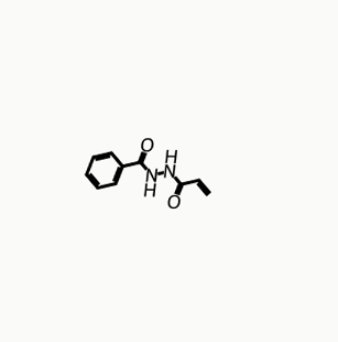 C=CC(=O)NNC(=O)c1ccccc1